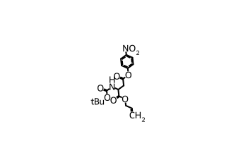 C=CCOC(=O)C(CC(=O)Oc1ccc([N+](=O)[O-])cc1)NC(=O)OC(C)(C)C